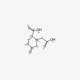 O=C(O)CN1CC(=O)OCC1C(=O)O